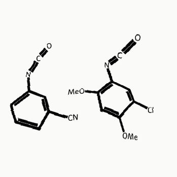 COc1cc(OC)c(N=C=O)cc1Cl.N#Cc1cccc(N=C=O)c1